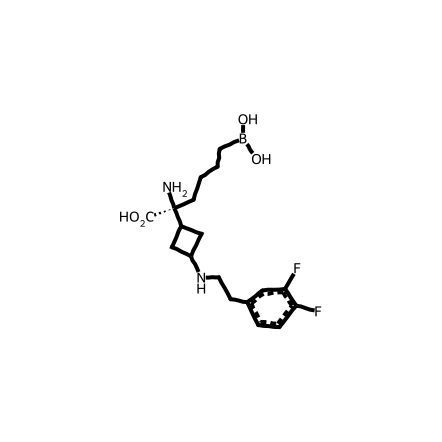 N[C@](CCCCB(O)O)(C(=O)O)C1CC(NCCc2ccc(F)c(F)c2)C1